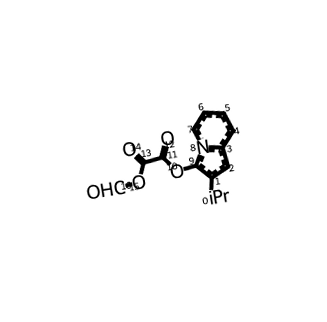 CC(C)c1cc2ccccn2c1OC(=O)C(=O)OC=O